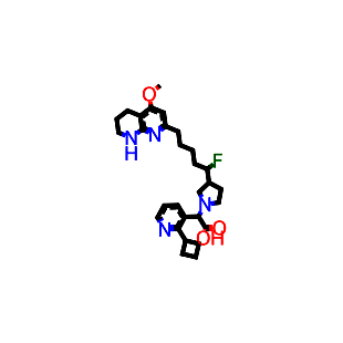 COc1cc(CCCCC(F)C2CCN(C(C(=O)O)c3cccnc3C3CCC3)C2)nc2c1CCCN2